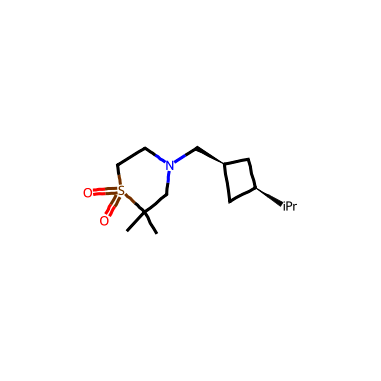 CC(C)[C@H]1C[C@@H](CN2CCS(=O)(=O)C(C)(C)C2)C1